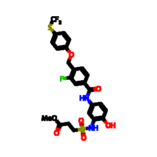 COC(=O)CCS(=O)(=O)Nc1cc(NC(=O)c2ccc(COc3ccc(SC(F)(F)F)cc3)c(F)c2)ccc1O